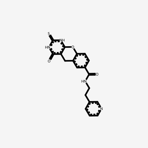 O=C(NCCc1cccnc1)c1ccc2c(c1)Cc1c([nH]c(=S)[nH]c1=O)O2